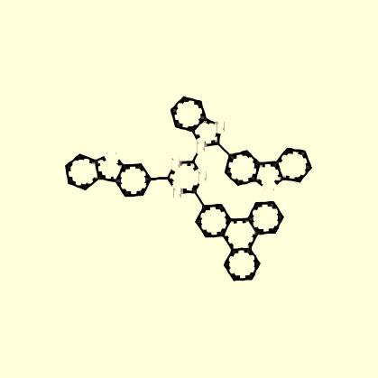 c1ccc2c(c1)nc(-c1ccc3oc4ccccc4c3c1)n2-c1nc(-c2ccc3c(c2)oc2ccccc23)nc(-c2ccc3c4ccccc4c4ccccc4c3c2)n1